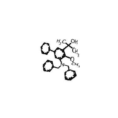 COc1c(N(Cc2ccccc2)Cc2ccccc2)cc(-c2ccccc2)cc1C(C)(C)O